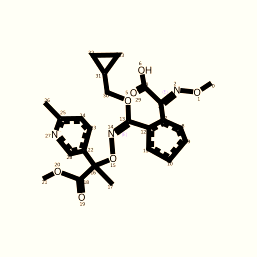 CO/N=C(/C(=O)O)c1ccccc1/C(=N\OC(C)(C(=O)OC)c1ccc(C)nc1)OCC1CC1